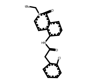 CC(C)(C)Cn1ccc2c(NC(=O)Cc3ccccc3Cl)cccc2c1=O